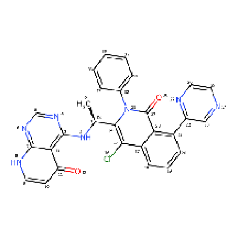 C[C@H](Nc1ncnc2[nH]ccc(=O)c12)c1c(Cl)c2cccc(-c3cnccn3)c2c(=O)n1-c1ccccc1